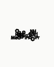 COC(=O)N[C@@H](Cc1ccccc1Cl)C(=O)NC(CCCN1C(=N)N[C@](CC(C)C)(c2ccccc2)C1=O)C(C)C